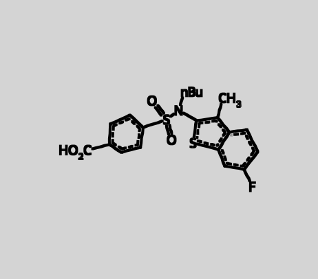 CCCCN(c1sc2cc(F)ccc2c1C)S(=O)(=O)c1ccc(C(=O)O)cc1